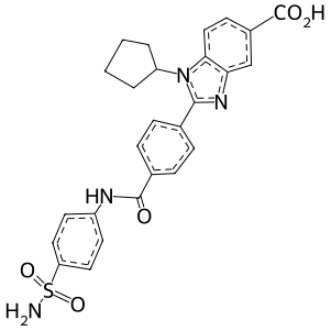 NS(=O)(=O)c1ccc(NC(=O)c2ccc(-c3nc4cc(C(=O)O)ccc4n3C3CCCC3)cc2)cc1